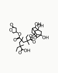 CCC(C)(CC(C)(CC(C)(CC)C(=O)OC12CC3C(O)C(O)(C1)CC(O)(C2)C3O)C(=O)OC1COC(=O)C1)C(=O)O